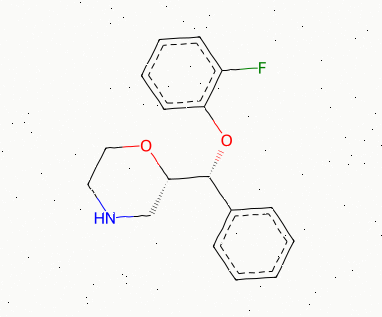 Fc1ccccc1O[C@H](c1ccccc1)[C@@H]1CNCCO1